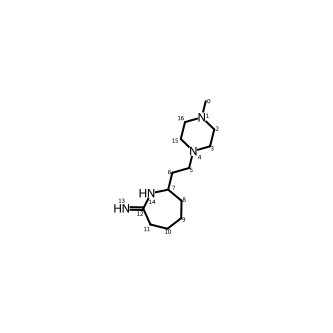 CN1CCN(CCC2CCCCC(=N)N2)CC1